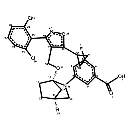 O=C(O)c1cc(F)cc(N2C[C@H]3CC[C@]2(OCc2c(-c4c(Cl)cccc4Cl)noc2C2CC2)C3)c1